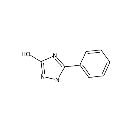 OC1=N[N]C(c2ccccc2)=N1